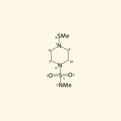 CNS(=O)(=O)N1CCN(SC)CC1